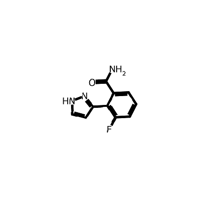 NC(=O)c1cccc(F)c1-c1cc[nH]n1